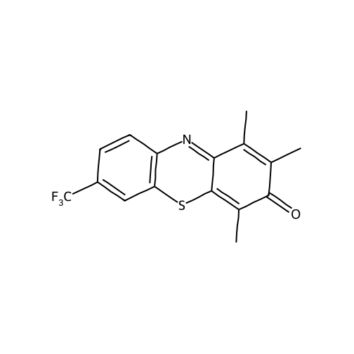 Cc1c2nc3ccc(C(F)(F)F)cc3sc-2c(C)c(=O)c1C